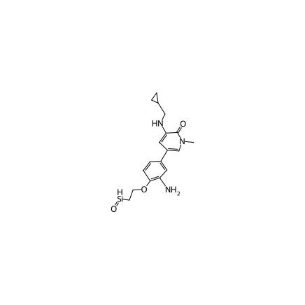 Cn1cc(-c2ccc(OCC[SiH]=O)c(N)c2)cc(NCC2CC2)c1=O